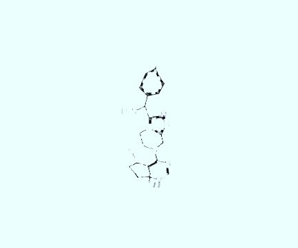 C[C@@H]1CCC2(C)NC=NC(N3CCn4c(nnc4C(N)c4ccc(Cl)cc4)C3)=C12